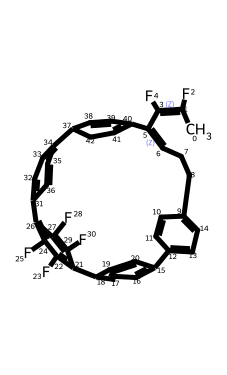 C/C(F)=C(F)\C1=C/CCc2ccc(cc2)-c2ccc(cc2)-c2c(F)c(F)c(c(F)c2F)-c2ccc(cc2)C2C=CC1=CC2